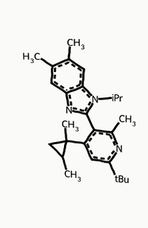 Cc1cc2nc(-c3c(C4(C)CC4C)cc(C(C)(C)C)nc3C)n(C(C)C)c2cc1C